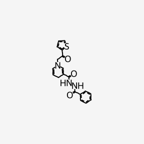 O=C(NNC(=O)c1ccccc1)C1=CN(CC(=O)c2cccs2)C=CC1